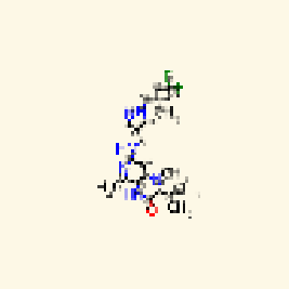 Cc1nc(NCc2cnn(CC3(C)CC(F)(F)C3)c2)cc2c1NC(=O)C(C(C)C)N2C